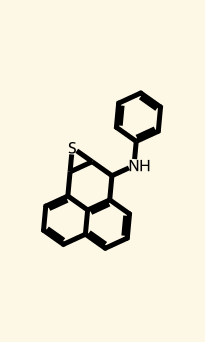 c1ccc(NC2c3cccc4cccc(c34)C3SC23)cc1